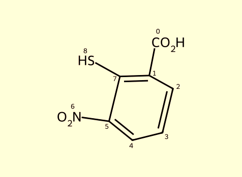 O=C(O)c1cccc([N+](=O)[O-])c1S